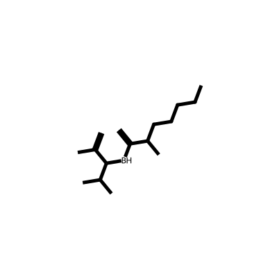 C=C(BC(C(=C)C)C(C)C)C(C)CCCCC